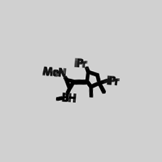 CBC1/C(=C2/C(C(C)C)CC(C)(C(C)C)C2C)C1NC